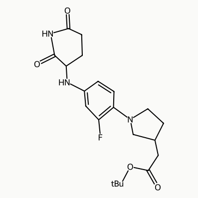 CC(C)(C)OC(=O)CC1CCN(c2ccc(NC3CCC(=O)NC3=O)cc2F)C1